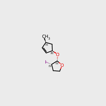 C[C@@H]1C=C[C@H](O[C@@H]2OCC[C@@H]2I)C1